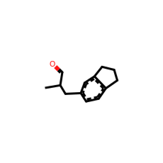 CC(C=O)Cc1ccc2c(c1)CCC2